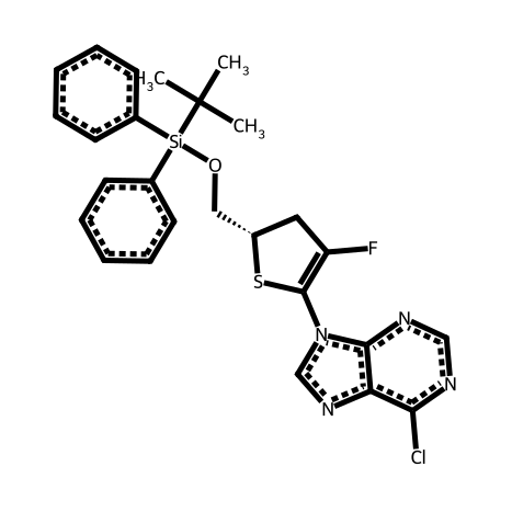 CC(C)(C)[Si](OC[C@@H]1CC(F)=C(n2cnc3c(Cl)ncnc32)S1)(c1ccccc1)c1ccccc1